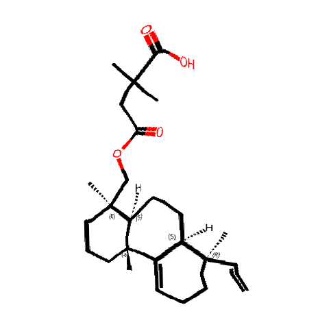 C=C[C@@]1(C)CCC=C2[C@H]1CC[C@@H]1[C@](C)(COC(=O)CC(C)(C)C(=O)O)CCC[C@@]21C